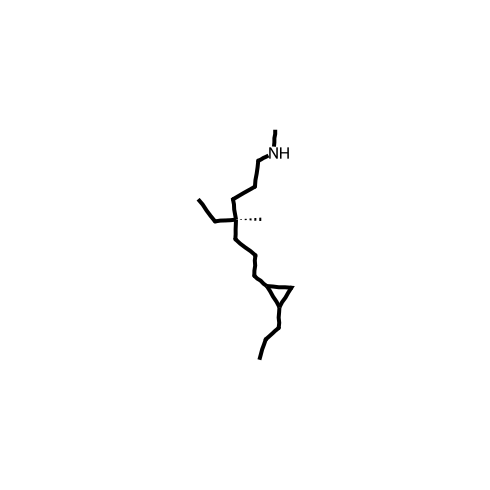 CCCC1CC1CCC[C@@](C)(CC)CCCNC